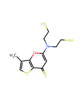 Cc1csc2c(=S)cc(N(CCS)CCS)oc12